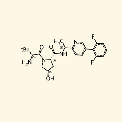 C[C@H](NC(=O)[C@@H]1C[C@@H](O)CN1C(=O)[C@@H](N)C(C)(C)C)c1ccc(-c2c(F)cccc2F)cn1